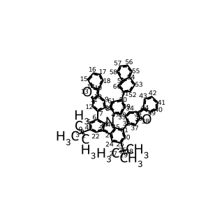 CC(C)(C)c1cc(-c2ccc3c(c2)oc2ccccc23)c2c(c1)c1cc(C(C)(C)C)cc(-c3ccc4c(c3)oc3ccccc34)c1n2-c1ccc(-c2ccc3ccccc3c2)cc1